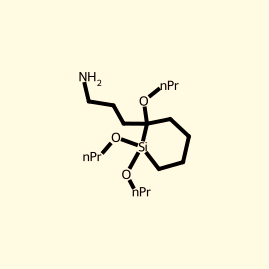 CCCOC1(CCCN)CCCC[Si]1(OCCC)OCCC